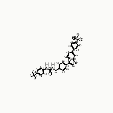 CC(C)(C)c1ccc(NC(=O)NCc2ccc(-c3cnc4cc(-c5ccc(S(C)(=O)=O)cc5)ccn34)cc2)cc1